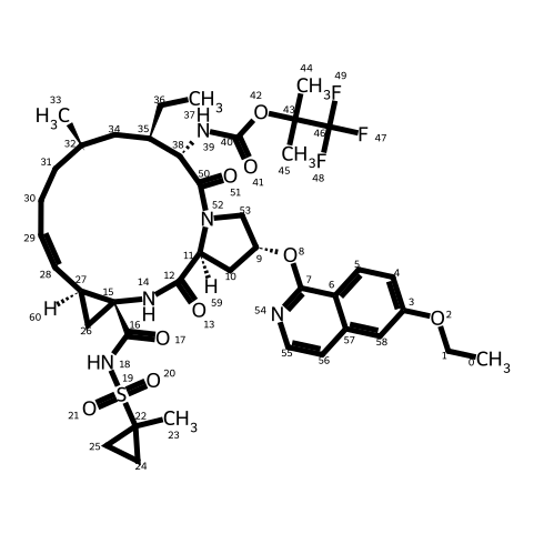 CCOc1ccc2c(O[C@@H]3C[C@H]4C(=O)N[C@]5(C(=O)NS(=O)(=O)C6(C)CC6)C[C@H]5/C=C\CC[C@@H](C)C[C@@H](CC)[C@H](NC(=O)OC(C)(C)C(F)(F)F)C(=O)N4C3)nccc2c1